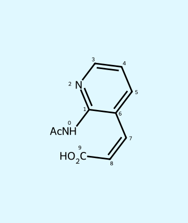 CC(=O)Nc1ncccc1/C=C\C(=O)O